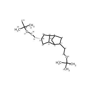 CC(C)(C)OCCC1CC2CC1C1C[C@H](CCOC(C)(C)I)CC21